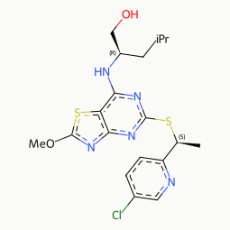 COc1nc2nc(S[C@@H](C)c3ccc(Cl)cn3)nc(N[C@@H](CO)CC(C)C)c2s1